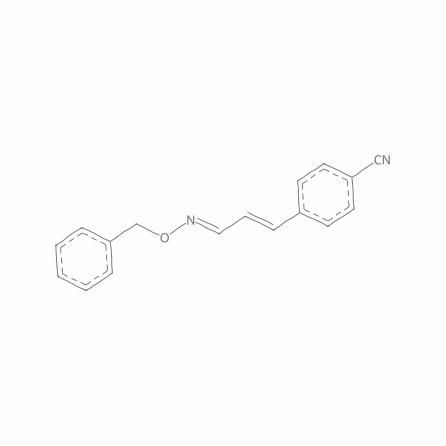 N#Cc1ccc(/C=C/C=NOCc2ccccc2)cc1